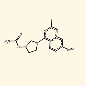 CNc1ccc2c(N3CCC(OC(N)=O)C3)nc(C)nc2c1